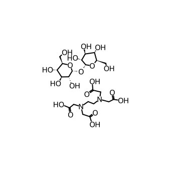 O=C(O)CN(CCN(CC(=O)O)CC(=O)O)CC(=O)O.OC[C@H]1O[C@H](O[C@H]2O[C@H](CO)[C@@H](O)[C@H](O)[C@H]2O)[C@H](O)[C@@H](O)[C@@H]1O